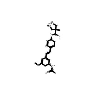 COC1=CC(/C=C/C2=CCC(OC(O)C(C)(CO)CO)C=C2)=CC(OC(C)=O)C1